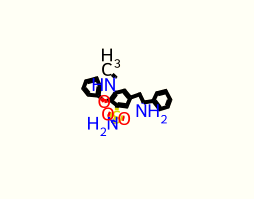 CCNc1cc(CC(N)c2ccccc2)cc(S(N)(=O)=O)c1Oc1ccccc1